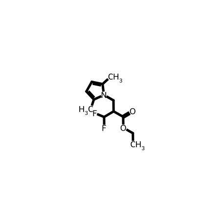 CCOC(=O)C(Cn1c(C)ccc1C)C(F)F